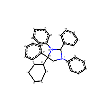 c1ccc(C2N(c3ccccc3)CC(c3ccccc3)(C3CCCCC3)N2c2ccccc2)cc1